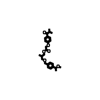 COC(C)c1ccc(COCC(C)COC(=O)COc2ccc(C(=O)C(C)C)cc2)cc1